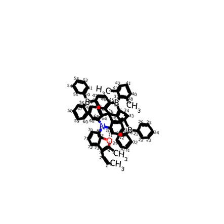 C/C=C\c1c(C)oc2c(N3c4ccccc4C4(c5cc(B(c6ccccc6)c6ccccc6)ccc5B(c5c(C)cccc5C)c5ccc(B(c6ccccc6)c6ccccc6)cc54)c4ccccc43)cccc12